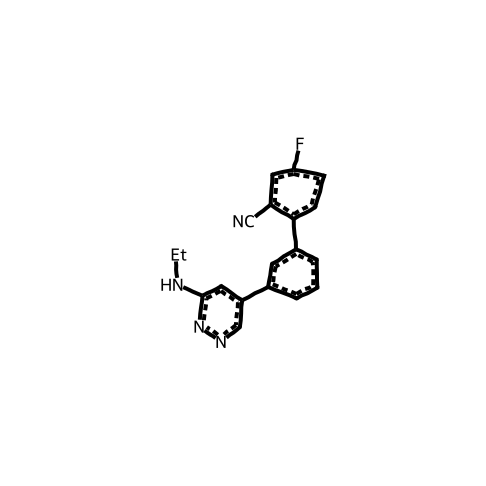 CCNc1cc(-c2cccc(-c3ccc(F)cc3C#N)c2)cnn1